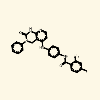 O=C(Nc1ccc(Nc2ccnc3c2CN(c2ccccc2)C(=O)N3)cc1)c1ccc(F)cc1C(F)(F)F